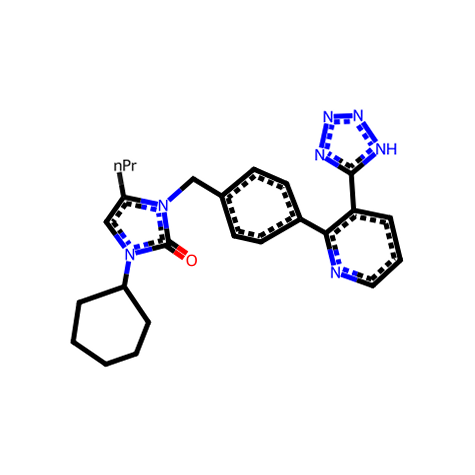 CCCc1cn(C2CCCCC2)c(=O)n1Cc1ccc(-c2ncccc2-c2nnn[nH]2)cc1